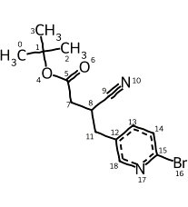 CC(C)(C)OC(=O)CC(C#N)Cc1ccc(Br)nc1